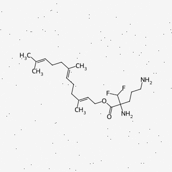 CC(C)=CCCC(C)=CCCC(C)=CCOC(=O)C(N)(CCCN)C(F)F